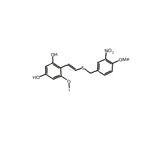 COc1ccc(CS/C=C/c2c(O)cc(O)cc2OI)cc1[N+](=O)[O-]